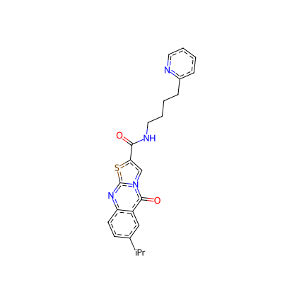 CC(C)c1ccc2nc3sc(C(=O)NCCCCc4ccccn4)cn3c(=O)c2c1